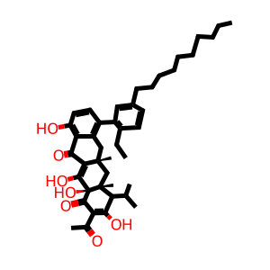 CCCCCCCCCCc1ccc(CC)c(-c2ccc(O)c3c2C[C@]2(C)C[C@]4(C)C(C(C)C)C(O)=C(C(C)=O)C(=O)[C@]4(O)C(O)=C2C3=O)c1